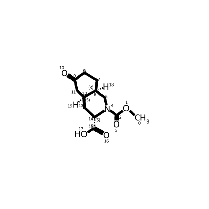 COC(=O)N1C[C@@H]2CCC(=O)C[C@@H]2C[C@H]1C(=O)O